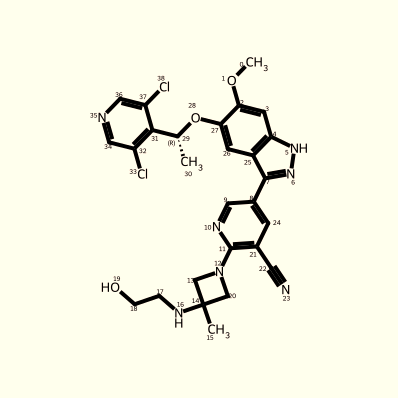 COc1cc2[nH]nc(-c3cnc(N4CC(C)(NCCO)C4)c(C#N)c3)c2cc1O[C@H](C)c1c(Cl)cncc1Cl